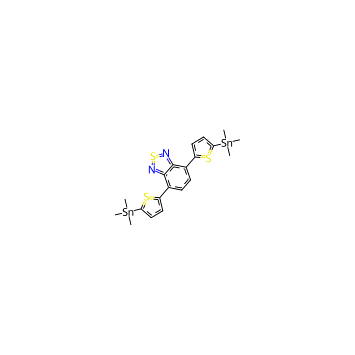 [CH3][Sn]([CH3])([CH3])[c]1ccc(-c2ccc(-c3cc[c]([Sn]([CH3])([CH3])[CH3])s3)c3nsnc23)s1